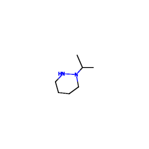 CC(C)N1CCCCN1